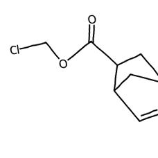 O=C(OCCl)C1CC2C=CC1C2